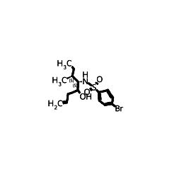 C=CCC(O)[C@@H](NS(=O)(=O)c1ccc(Br)cc1)[C@@H](C)CC